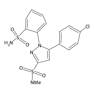 CNS(=O)(=O)c1cc(-c2ccc(Cl)cc2)n(-c2ccccc2S(N)(=O)=O)n1